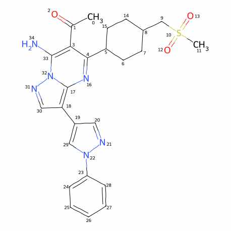 CC(=O)c1c(C2CCC(CS(C)(=O)=O)CC2)nc2c(-c3cnn(-c4ccccc4)c3)cnn2c1N